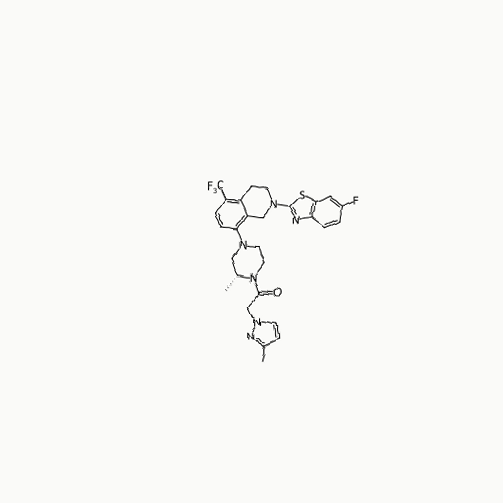 Cc1ccn(CC(=O)N2CCN(c3ccc(C(F)(F)F)c4c3CN(c3nc5ccc(F)cc5s3)CC4)C[C@H]2C)n1